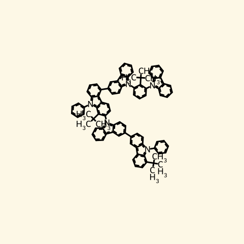 CC(C)(C)c1c(-n2c3ccccc3c3ccccc32)cccc1-n1c2ccccc2c2cc(-c3cccc4c3c3ccc(-n5c6ccccc6c6cc(-c7ccc8c(c7)c7cccc(C(C)(C)C)c7n8-c7ccccc7)ccc65)c(C(C)(C)C)c3n4-c3ccccc3)ccc21